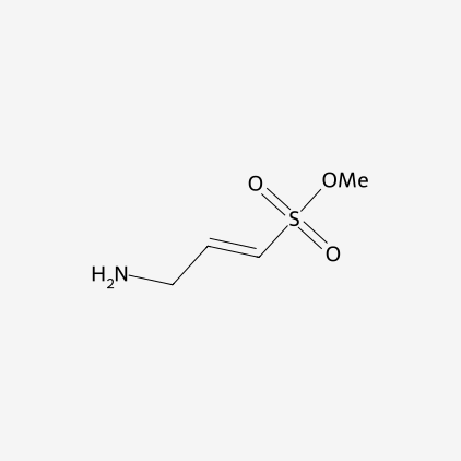 COS(=O)(=O)/C=C/CN